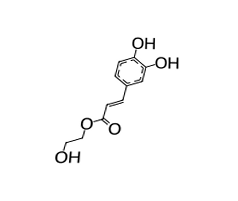 O=C(C=Cc1ccc(O)c(O)c1)OCCO